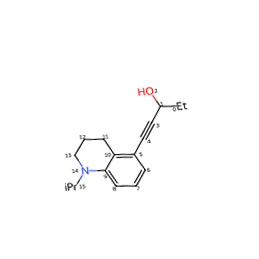 CCC(O)C#Cc1cccc2c1CCCN2C(C)C